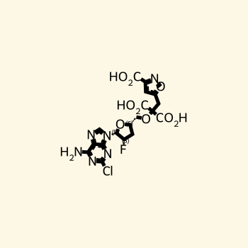 Nc1nc(Cl)nc2c1ncn2[C@@H]1O[C@H](COC(Cc2cc(C(=O)O)no2)(C(=O)O)C(=O)O)C[C@@H]1F